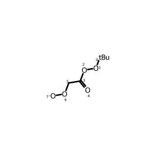 CC(C)(C)OOC(=O)CO[O]